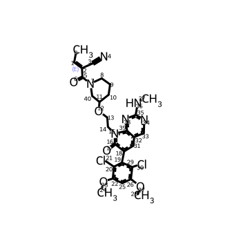 C/C=C(\C#N)C(=O)N1CCCC(OCCn2c(=O)c(-c3c(Cl)c(OC)cc(OC)c3Cl)cc3cnc(NC)nc32)C1